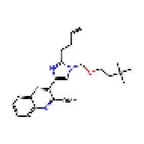 C=CCCc1nc(-c2cc3ccccc3nc2OC)cn1COCC[Si](C)(C)C